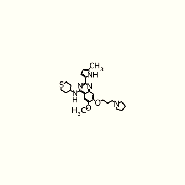 COc1cc2c(NC3CCSCC3)nc(-c3ccc(C)[nH]3)nc2cc1OCCCN1CCCC1